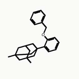 CC12CC3CC(C)(C1)CC(c1ccccc1OCc1ccccc1)(C3)C2